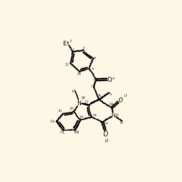 CCc1ccc(C(=O)CC2(C)C(=O)N(C)C(=O)c3c2n(C)c2ccccc32)cc1